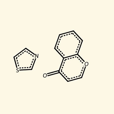 O=c1ccoc2ccccc12.c1cscn1